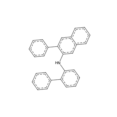 c1ccc(-c2ccccc2Nc2cc3ccccc3cc2-c2ccccc2)cc1